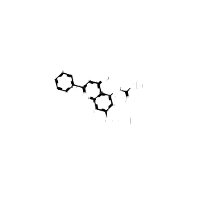 CC(C)(C)C(=O)Oc1cc(C(=O)O)cc2oc(-c3ccccc3)cc(=O)c12